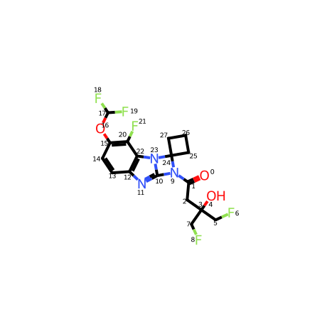 O=C(CC(O)(CF)CF)N1c2nc3ccc(OC(F)F)c(F)c3n2C12CCC2